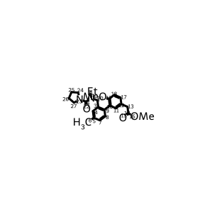 CCN(Cc1cc(C)ccc1-c1cc(CC(=O)OC)ccc1OC)C(=O)N1CCCC1